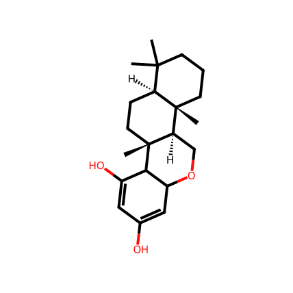 CC1(C)CCC[C@]2(C)[C@H]3COC4C=C(O)C=C(O)C4[C@]3(C)CC[C@@H]12